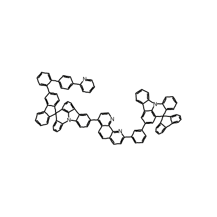 c1ccc(-c2ccc(-c3ccccc3-c3ccc4c(c3)-c3ccccc3C43c4ccccc4-n4c5ccc(-c6ccnc7c6ccc6ccc(-c8cccc(-c9cc%10c%11c(c9)c9ccccc9n%11-c9ccccc9C%109c%10ccccc%10-c%10ccccc%109)c8)nc67)cc5c5cccc3c54)cc2)nc1